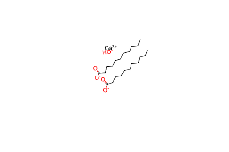 CCCCCCCCCCC(=O)[O-].CCCCCCCCCCC(=O)[O-].[Ga+3].[OH-]